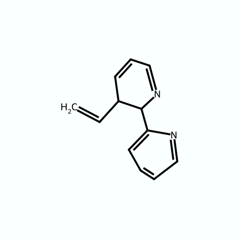 C=CC1C=CC=NC1c1ccccn1